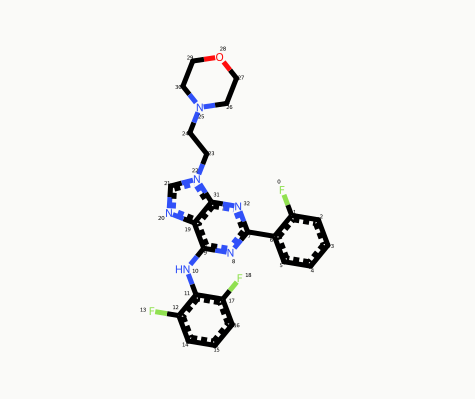 Fc1ccccc1-c1nc(Nc2c(F)cccc2F)c2ncn(CCN3CCOCC3)c2n1